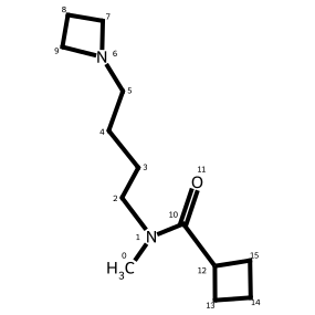 CN(CCCCN1CCC1)C(=O)C1CCC1